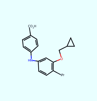 CC(C)c1ccc(Nc2ccc(C(=O)O)cc2)cc1OCC1CC1